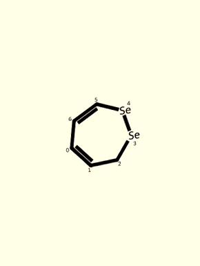 C1=CC[Se][Se]C=C1